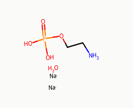 NCCOP(=O)(O)O.O.[Na].[Na]